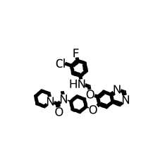 CN(C(=O)N1CCCCC1)[C@H]1CC[C@@H](Oc2cc3cncnc3cc2OCNc2ccc(F)c(Cl)c2)CC1